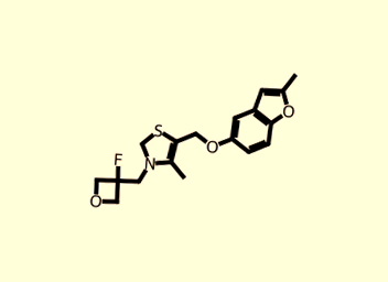 CC1=C(COc2ccc3oc(C)cc3c2)SCN1CC1(F)COC1